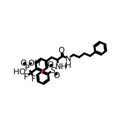 O=C(NCCCCc1ccccc1)C(Cc1ccc(C(F)(F)P(=O)(O)O)cc1)NS(=O)(=O)c1ccccc1